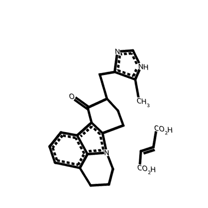 Cc1[nH]cnc1CC1CCc2c(c3cccc4c3n2CCC4)C1=O.O=C(O)C=CC(=O)O